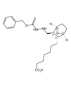 O=C(O)CCCCCC[C@@H]1[C@@H](CNNC(=S)OCc2ccccc2)[C@H]2CC[C@@H]1O2